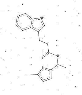 Cc1ccc(C(C)NC(=O)CCc2c[nH]c3ccccc23)s1